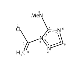 C=C(Cl)n1ncnc1NC